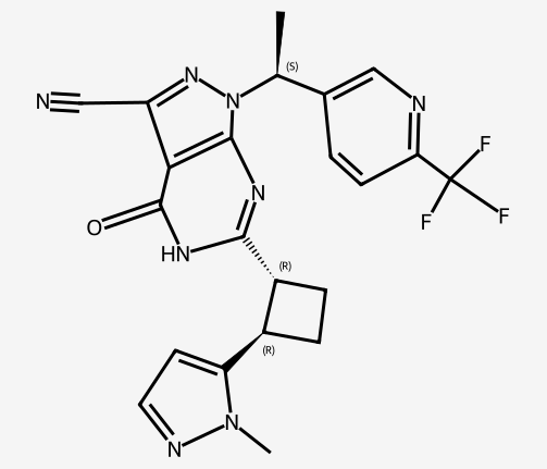 C[C@@H](c1ccc(C(F)(F)F)nc1)n1nc(C#N)c2c(=O)[nH]c([C@@H]3CC[C@H]3c3ccnn3C)nc21